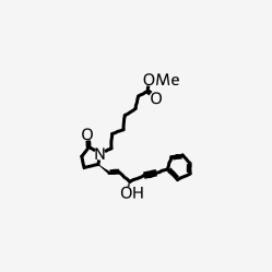 COC(=O)CCCCCCN1C(=O)CC[C@@H]1/C=C/[C@@H](O)C#Cc1ccccc1